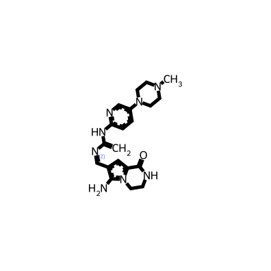 C=C(/N=C\c1cc2n(c1N)CCNC2=O)Nc1ccc(N2CCN(C)CC2)cn1